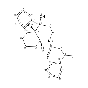 CC(CC(=O)N1CCC(O)(c2ccccc2)[C@H]2CCCC[C@H]21)c1ccccc1